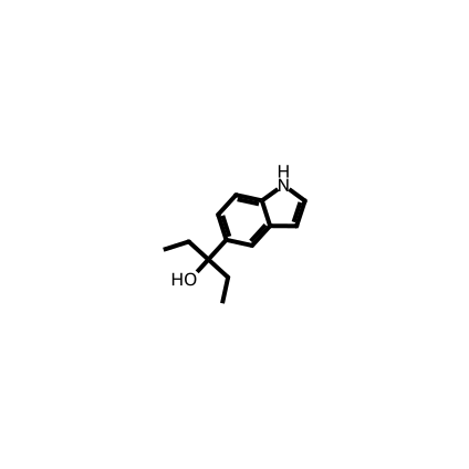 CCC(O)(CC)c1ccc2[nH]ccc2c1